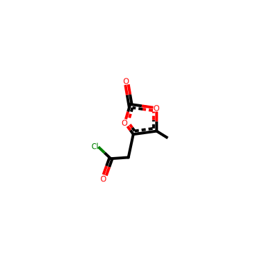 Cc1oc(=O)oc1CC(=O)Cl